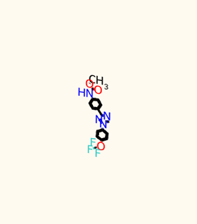 COC(=O)Nc1ccc(-c2ncn(-c3ccc(OC(F)(F)F)cc3)n2)cc1